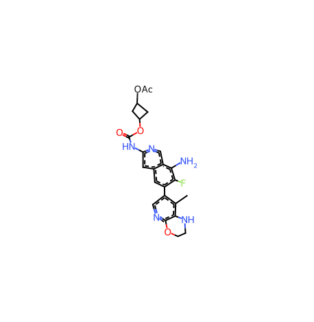 CC(=O)OC1CC(OC(=O)Nc2cc3cc(-c4cnc5c(c4C)NCCO5)c(F)c(N)c3cn2)C1